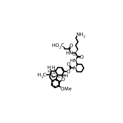 COc1ccc2c3c1O[C@H]1C(OC(=O)N4CCCCC4NC(=O)[C@H](CCCCN)NC(=O)CC(=O)O)=CC[C@H]4[C@@H](C2)N(C)CC[C@]314